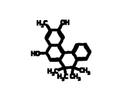 CC1=CC2C(=C3C(=CC2O)C(C)(C)C(C)(C)c2ccccc23)C=C1O